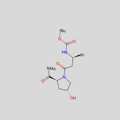 CNC(=O)[C@@H]1C[C@@H](O)CN1C(=O)C[C@@H](NC(=O)OC(C)(C)C)C(C)C